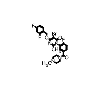 Cc1nc(OCc2ccc(F)cc2F)c(Br)c(=O)n1-c1cc(C(=O)N2CCN(C)CC2)ccc1F